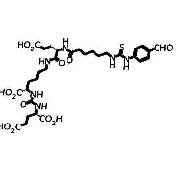 O=Cc1ccc(NC(=S)NCCCCCC(=O)N[C@@H](CCC(=O)O)C(=O)NCCCC[C@H](NC(=O)N[C@@H](CCC(=O)O)C(=O)O)C(=O)O)cc1